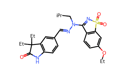 CCOc1ccc2c(c1)S(=O)(=O)N=C2N(CC(C)C)/N=C/c1ccc2c(c1)C(CC)(CC)C(=O)N2